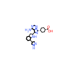 Nc1ncnn2c1c(C1Cc3cccc(-c4cn[nH]c4)c3N1)nc2[C@H]1CC[C@H](C(=O)O)CC1